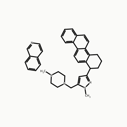 CN1CCN(Cc2cc(C3CCCc4c3ccc3c4ccc4ccccc43)nn2C)CC1.c1ccc2cnccc2c1